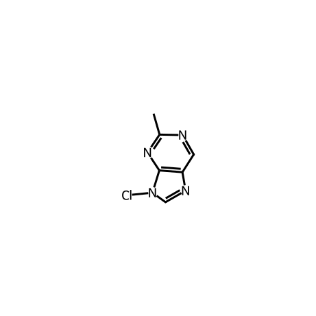 Cc1ncc2ncn(Cl)c2n1